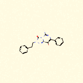 Nc1nc(-c2ccccc2)c(Br)c2nn(CCc3ccccc3)c(=O)n12